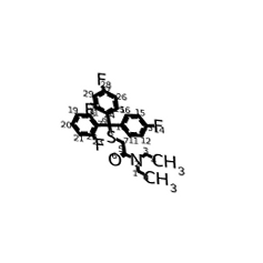 CCN(CC)C(=O)CSC(c1ccc(F)cc1)(c1ccccc1F)c1ccc(F)cc1F